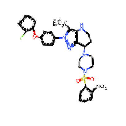 CCOC(=O)c1c2c(nn1-c1ccc(Oc3ccccc3F)cc1)[C@H](N1CCN(S(=O)(=O)c3ccccc3[N+](=O)[O-])CC1)CCN2